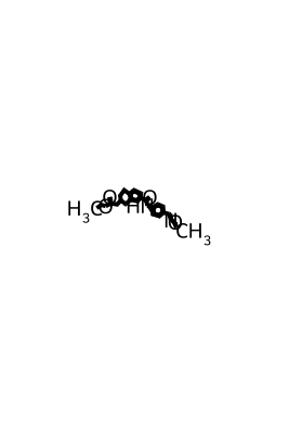 CCO/N=C/c1ccc(NC(=O)c2ccc3c(c2)CC(CC(=O)OCC)CC3)cc1